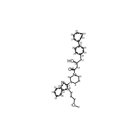 COCCCn1c([C@@H]2CCCN(C(=O)CC(O)Cc3ccc(-c4ccccc4)cc3)C2)nc2ccccc21